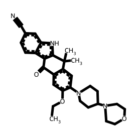 CCOc1cc2c(cc1N1CCC(N3CCOCC3)CC1)C(C)(C)c1[nH]c3cc(C#N)ccc3c1C2=O